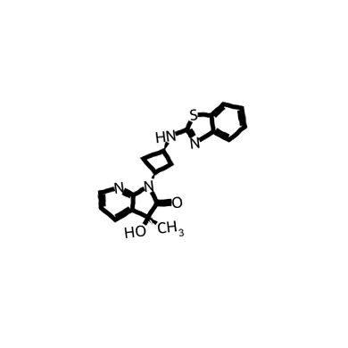 C[C@]1(O)C(=O)N([C@H]2C[C@H](Nc3nc4ccccc4s3)C2)c2ncccc21